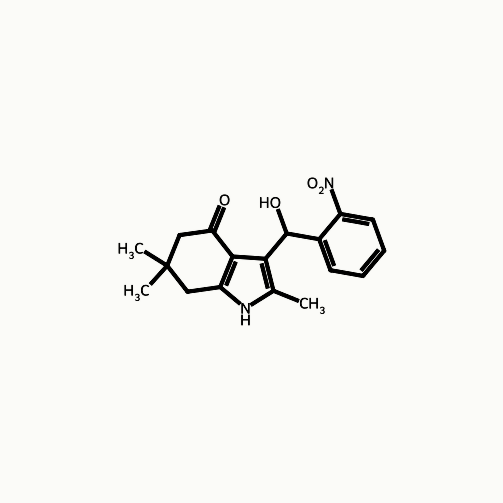 Cc1[nH]c2c(c1C(O)c1ccccc1[N+](=O)[O-])C(=O)CC(C)(C)C2